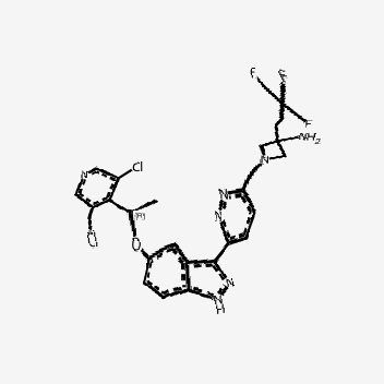 C[C@@H](Oc1ccc2[nH]nc(-c3ccc(N4CC(N)(CC(F)(F)F)C4)nn3)c2c1)c1c(Cl)cncc1Cl